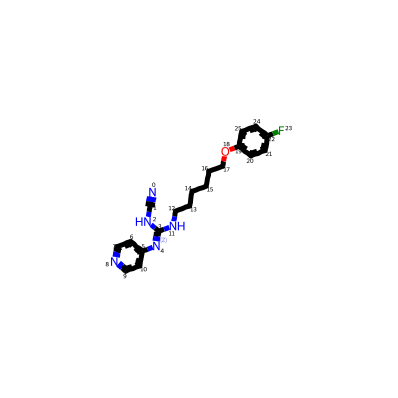 N#CN/C(=N\c1ccncc1)NCCCCCCOc1ccc(F)cc1